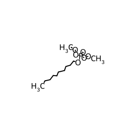 CCCCCCCCCCOP(=O)(OOC)OOC